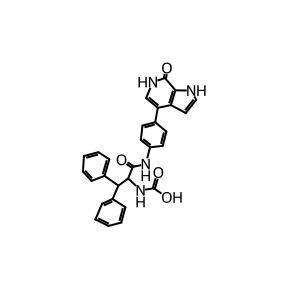 O=C(O)NC(C(=O)Nc1ccc(-c2c[nH]c(=O)c3[nH]ccc23)cc1)C(c1ccccc1)c1ccccc1